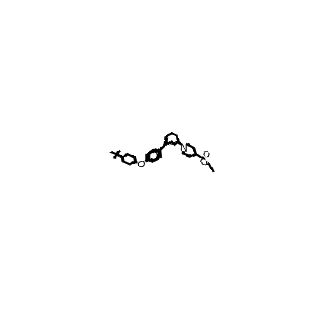 CCOC(=O)C1CCN(C2CCCC(c3ccc(OC4CCC(C(C)(C)C)CC4)cc3)C2)CC1